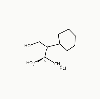 C[C@@H](C(=O)O)N(CO)C1CCCCC1.Cl